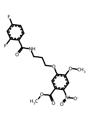 COC(=O)c1cc(OCCCNC(=O)c2ccc(F)cc2F)c(OC)cc1[N+](=O)[O-]